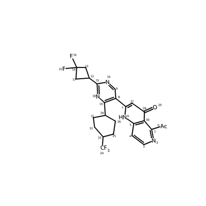 CC(=O)c1nccc2[nH]c(-c3cnc(C4CC(F)(F)C4)nc3C3CCC(C(F)(F)F)CC3)cc(=O)c12